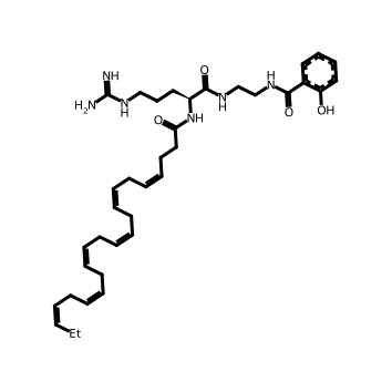 CC/C=C\C/C=C\C/C=C\C/C=C\C/C=C\C/C=C\CCC(=O)N[C@@H](CCCNC(=N)N)C(=O)NCCNC(=O)c1ccccc1O